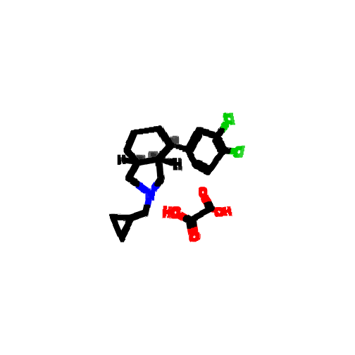 Clc1ccc([C@H]2CCC[C@H]3CN(CC4CC4)C[C@H]32)cc1Cl.O=C(O)C(=O)O